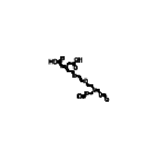 O=COCN(CCOCCOCCN(CC(=O)O)CC(=O)O)COC=O